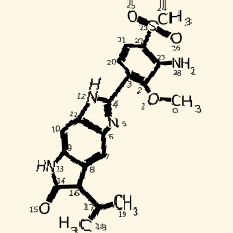 COc1c(-c2nc3cc4c(cc3[nH]2)NC(=O)C4C(C)C)ccc(S(C)(=O)=O)c1N